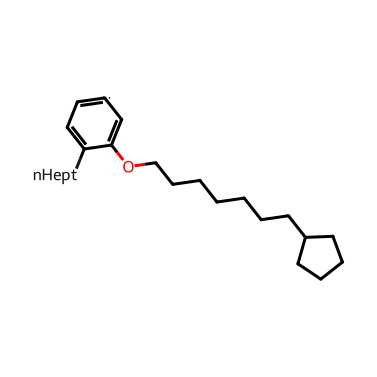 CCCCCCCc1cc[c]cc1OCCCCCCCC1CCCC1